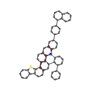 c1ccc(-c2ccccc2-c2c(-c3ccccc3)cccc2N(c2ccc(-c3ccc(-c4cccc5ccccc45)cc3)cc2)c2cccc(-c3cccc4c3sc3ccccc34)c2)cc1